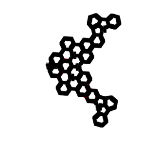 CC(C)(C)c1cc2c3c(c1)N(c1c(-c4ccccc4)cccc1-c1ccccc1)c1cc(-c4ccc5c(c4)c4cccc6c7ccccc7n5c64)ccc1B3c1ccc(-c3ccc4c(c3)c3cccc5c6ccccc6n4c53)cc1N2c1c(-c2ccccc2)cccc1-c1ccccc1